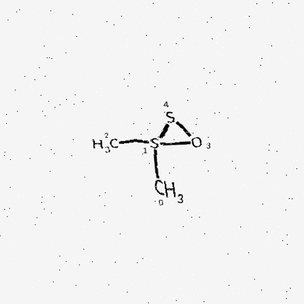 CS1(C)OS1